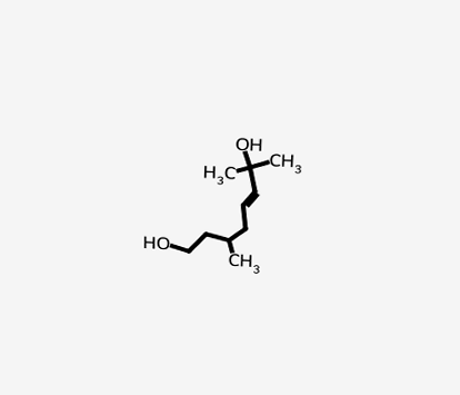 CC(C/C=C/C(C)(C)O)CCO